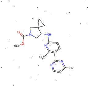 Cc1nc(NC2CN(C(=O)OC(C)(C)C)CC23CC3)ccc1-c1nccc(C#N)n1